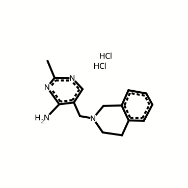 Cc1ncc(CN2CCc3ccccc3C2)c(N)n1.Cl.Cl